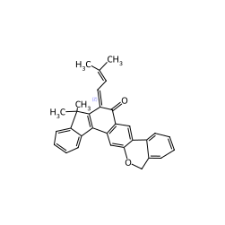 CC(C)=C/C=C1\C(=O)c2cc3c(cc2C2=C1C(C)(C)c1ccccc12)OCc1ccccc1-3